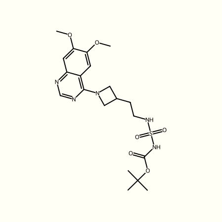 COc1cc2ncnc(N3CC(CCNS(=O)(=O)NC(=O)OC(C)(C)C)C3)c2cc1OC